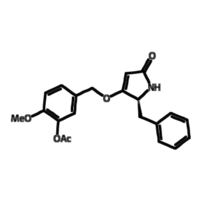 COc1ccc(COC2=CC(=O)N[C@H]2Cc2ccccc2)cc1OC(C)=O